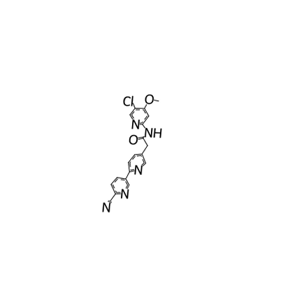 COc1cc(NC(=O)Cc2ccc(-c3ccc(C#N)nc3)nc2)ncc1Cl